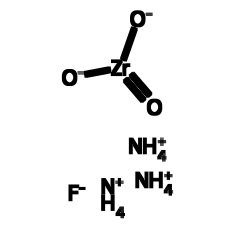 [F-].[NH4+].[NH4+].[NH4+].[O]=[Zr]([O-])[O-]